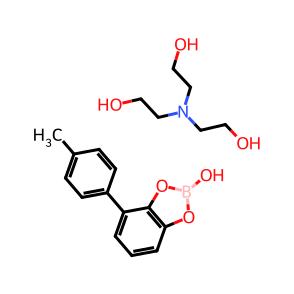 Cc1ccc(-c2cccc3c2OB(O)O3)cc1.OCCN(CCO)CCO